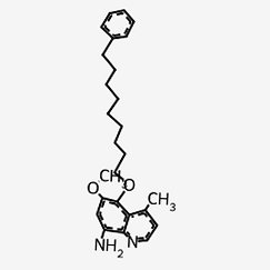 COc1cc(N)c2nccc(C)c2c1OCCCCCCCCCc1ccccc1